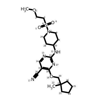 COCCS(=O)(=O)N1CCC(Nc2ncc(C#N)c(OCC3(C)CCCC3)n2)CC1